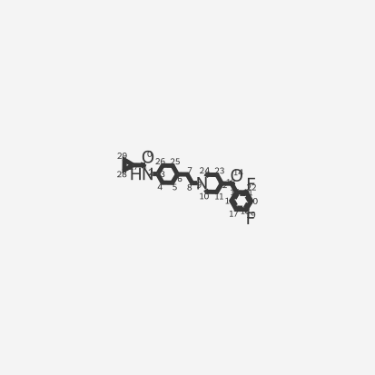 O=C(NC1CCC(CCN2CCC(C(=O)c3ccc(F)cc3F)CC2)CC1)C1CC1